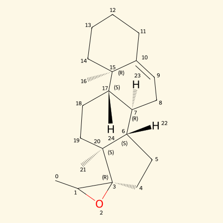 CC1O[C@@]12CC[C@H]1[C@@H]3CC=C4CCCC[C@]4(C)[C@H]3CC[C@@]12C